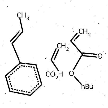 C=CC(=O)O.C=CC(=O)OCCCC.CC=Cc1ccccc1